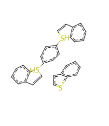 C1=C[SH](c2ccc([SH]3C=Cc4ccccc43)cc2)c2ccccc21.c1ccc2sccc2c1